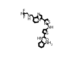 Nc1ccccc1NC(=O)c1ccc(Nc2nc(-c3cnc4c(CNCC(F)(F)F)cccn34)cs2)s1